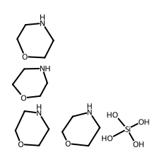 C1COCCN1.C1COCCN1.C1COCCN1.C1COCCN1.O[Si](O)(O)O